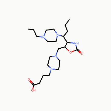 CCCC(C1NC(=O)OC1CN1CCN(CCCC(=O)O)CC1)N1CCN(CCC)CC1